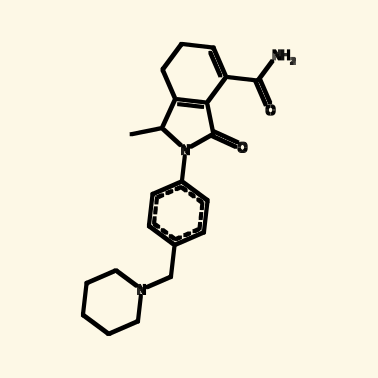 CC1C2=C(C(=O)N1c1ccc(CN3CCCCC3)cc1)C(C(N)=O)=CCC2